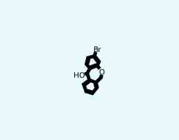 OC1c2ccccc2COc2cc(Br)ccc21